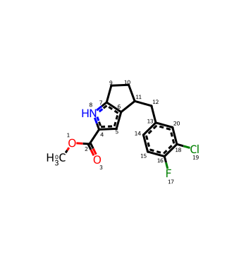 COC(=O)c1cc2c([nH]1)CCC2Cc1ccc(F)c(Cl)c1